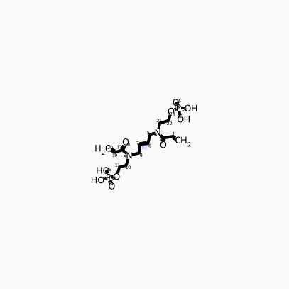 C=CC(=O)N(C/C=C/CN(CCOP(=O)(O)O)C(=O)C=C)CCOP(=O)(O)O